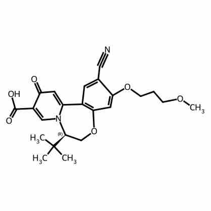 COCCCOc1cc2c(cc1C#N)-c1cc(=O)c(C(=O)O)cn1[C@H](C(C)(C)C)CO2